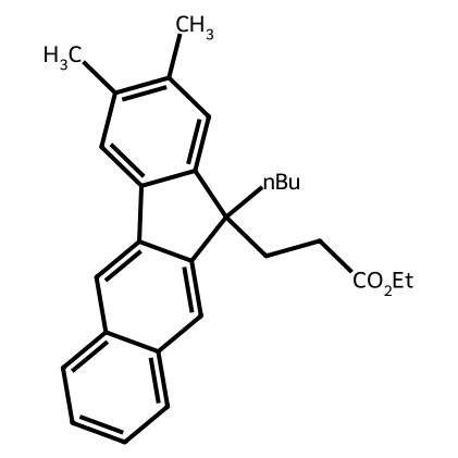 CCCCC1(CCC(=O)OCC)c2cc(C)c(C)cc2-c2cc3ccccc3cc21